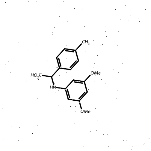 COc1cc(NC(C(=O)O)c2ccc(C)cc2)cc(OC)c1